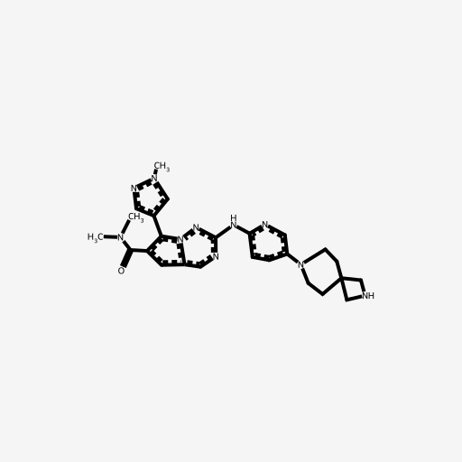 CN(C)C(=O)c1cc2cnc(Nc3ccc(N4CCC5(CC4)CNC5)cn3)nn2c1-c1cnn(C)c1